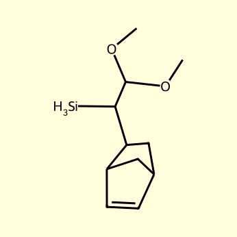 COC(OC)C([SiH3])C1CC2C=CC1C2